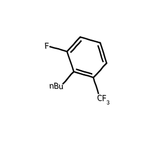 CCCCc1c(F)cccc1C(F)(F)F